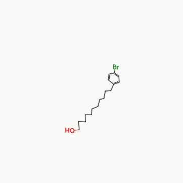 OCCCCCCCCCCCc1ccc(Br)cc1